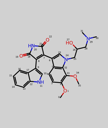 COc1ccc2c(C3=C(c4c[nH]c5ccccc45)C(=O)NC3=O)cn(CC(O)CN(C)C)c2c1OC